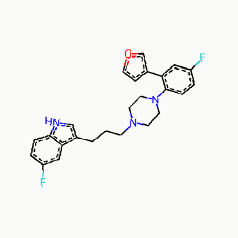 Fc1ccc(N2CCN(CCCc3c[nH]c4ccc(F)cc34)CC2)c(-c2ccoc2)c1